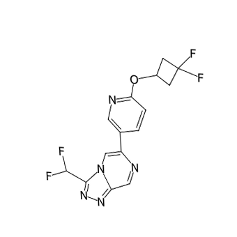 FC(F)c1nnc2cnc(-c3ccc(OC4CC(F)(F)C4)nc3)cn12